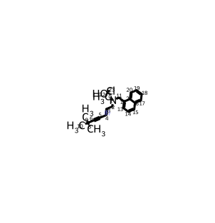 CN(C/C=C/C#CC(C)(C)C)Cc1cccc2ccccc12.OCl